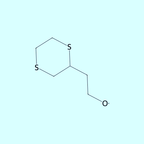 [O]CCC1CSCCS1